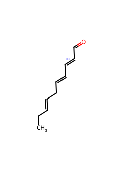 CCC=CCC=C/C=C/C=O